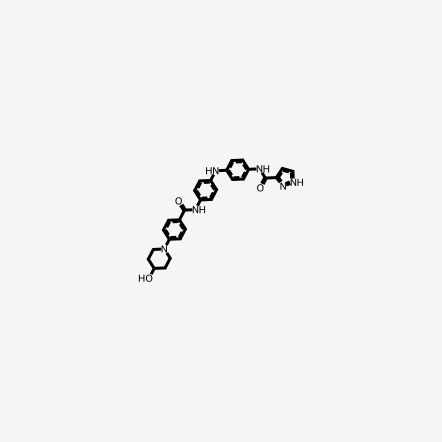 O=C(Nc1ccc(Nc2ccc(NC(=O)c3cc[nH]n3)cc2)cc1)c1ccc(N2CCC(O)CC2)cc1